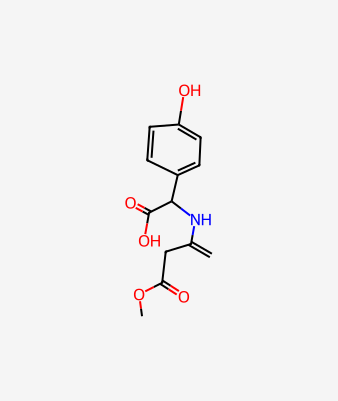 C=C(CC(=O)OC)NC(C(=O)O)c1ccc(O)cc1